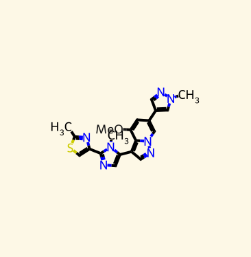 COc1cc(-c2cnn(C)c2)cn2ncc(-c3cnc(-c4csc(C)n4)n3C)c12